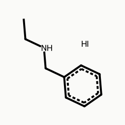 CCNCc1ccccc1.I